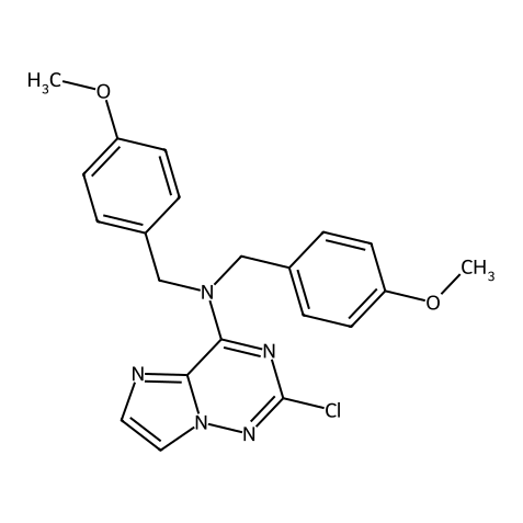 COc1ccc(CN(Cc2ccc(OC)cc2)c2nc(Cl)nn3ccnc23)cc1